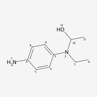 CCN(c1ccc(N)cc1)C(C)O